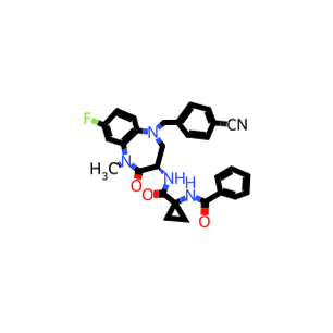 CN1C(=O)[C@H](NC(=O)C2(NC(=O)c3ccccc3)CC2)CN(Cc2ccc(C#N)cc2)c2ccc(F)cc21